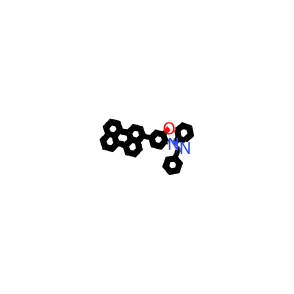 c1ccc(-c2nc3cccc4c3n2-c2ccc(-c3ccc5c6cccc7cccc(c8cccc3c85)c76)cc2O4)cc1